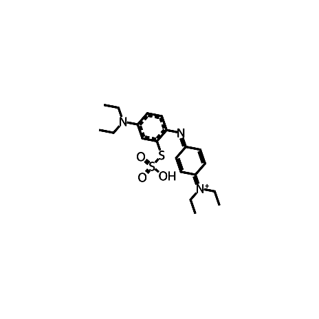 CCN(CC)c1ccc(N=C2C=CC(=[N+](CC)CC)C=C2)c(SS(=O)(=O)O)c1